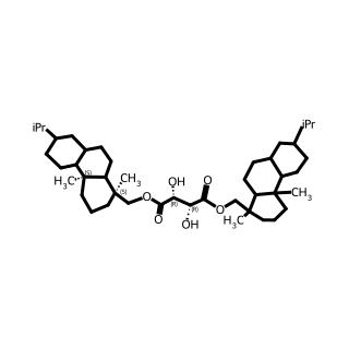 CC(C)C1CCC2C(CCC3C(C)(COC(=O)[C@H](O)[C@@H](O)C(=O)OC[C@@]4(C)CCC[C@@]5(C)C6CCC(C(C)C)CC6CCC45)CCCC23C)C1